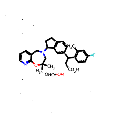 Cc1cc(F)ccc1C(CC(=O)O)c1ccc2c(c1)C(N1Cc3cccnc3OC(C)(C)C1)CC2.O=CO